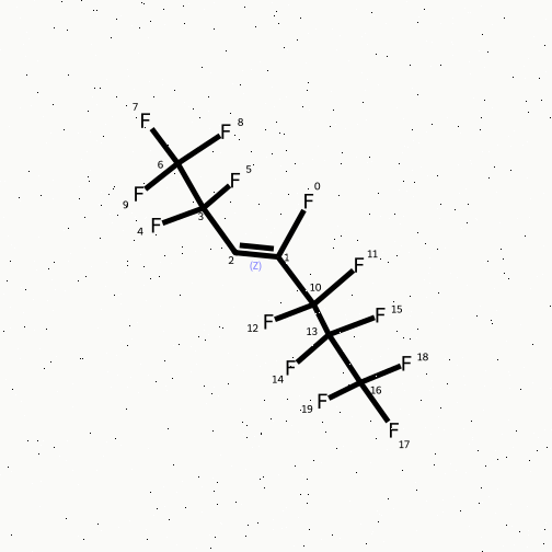 F/C(=C\C(F)(F)C(F)(F)F)C(F)(F)C(F)(F)C(F)(F)F